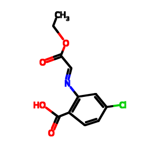 CCOC(=O)/C=N/c1cc(Cl)ccc1C(=O)O